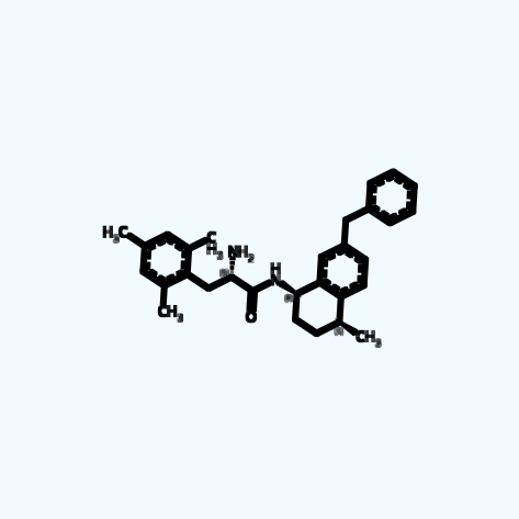 Cc1cc(C)c(C[C@H](N)C(=O)N[C@@H]2CC[C@H](C)c3ccc(Cc4ccccc4)cc32)c(C)c1